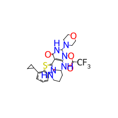 O=C1NC(N2CCOCC2)N(OC(=O)C(F)(F)F)C(N[C@@H]2CCCNC2)=C1c1nc2cccc(C3CC3)c2s1